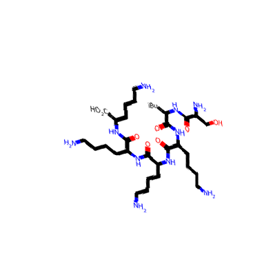 CCC(C)C(NC(=O)C(N)CO)C(=O)NC(CCCCN)C(=O)NC(CCCCN)C(=O)NC(CCCCN)C(=O)NC(CCCCN)C(=O)O